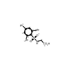 CC(C)c1cc(C(C)C)c(S(=O)(=O)NCC(=O)O)c(C(C)C)c1